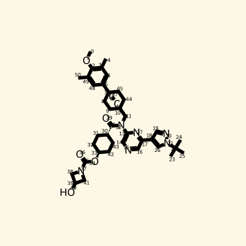 COc1c(C)cc(C23CCC(CN(c4cncc(-c5cnn(C(C)(C)C)c5)n4)C(=O)[C@H]4CC[C@H](OC(=O)N5CC(O)C5)CC4)(CC2)CC3)cc1C